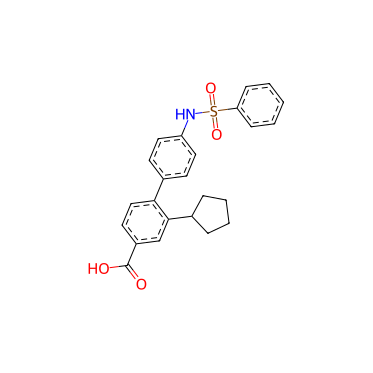 O=C(O)c1ccc(-c2ccc(NS(=O)(=O)c3ccccc3)cc2)c(C2CCCC2)c1